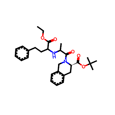 CCOC(=O)C(CCc1ccccc1)NC(C)C(=O)N1Cc2ccccc2C[C@H]1C(=O)OC(C)(C)C